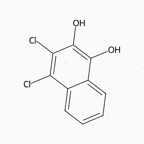 Oc1c(Cl)c(Cl)c2ccccc2c1O